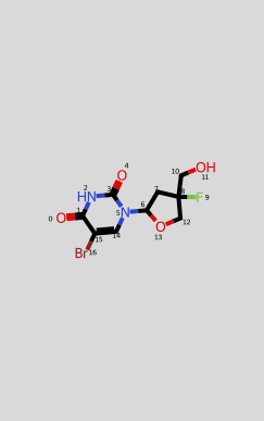 O=c1[nH]c(=O)n(C2CC(F)(CO)CO2)cc1Br